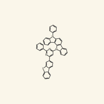 c1ccc(-c2nc(-c3ccc4c(c3)sc3ccccc34)cc(-n3c4ccccc4c4ccc5c(c6ccccc6n5-c5ccccc5)c43)n2)cc1